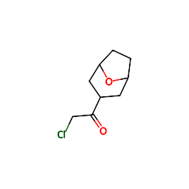 O=C(CCl)C1CC2CCC(C1)O2